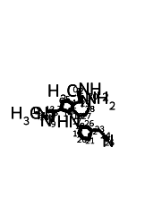 C/C(N)=C1\c2ccc(-c3cnn(C)c3)cc2C(Nc2cccc(CC#N)c2)CCN1N